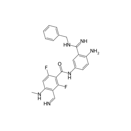 CNc1cc(F)c(C(=O)Nc2ccc(N)c(C(=N)NCc3ccccc3)c2)c(F)c1C=N